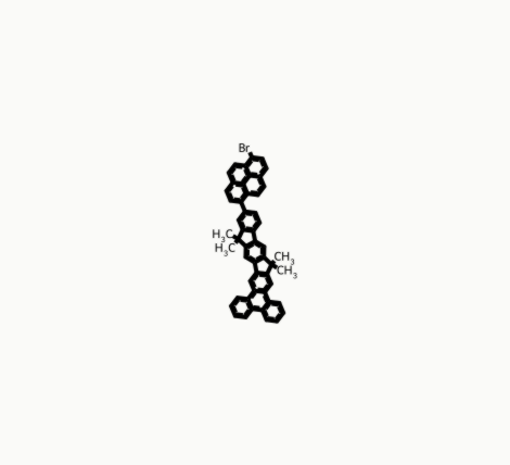 CC1(C)c2cc(-c3ccc4ccc5c(Br)ccc6ccc3c4c65)ccc2-c2cc3c(cc21)-c1cc2c4ccccc4c4ccccc4c2cc1C3(C)C